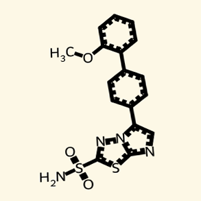 COc1ccccc1-c1ccc(-c2cnc3sc(S(N)(=O)=O)nn23)cc1